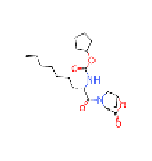 C=CCCCCC[C@H](NC(=O)OC1CCCC1)C(=O)N1CC2CC1C(=O)O2